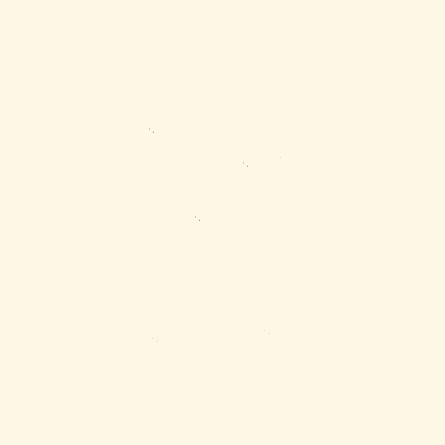 N#Cc1ccnc(OC2CCN(C(CNC(=O)c3c(F)cccc3Cl)c3scnc3C(F)F)CC2)c1